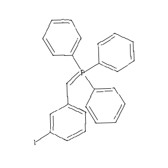 Ic1cccc(C=P(c2ccccc2)(c2ccccc2)c2ccccc2)c1